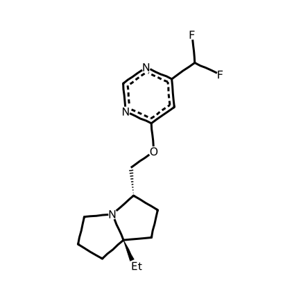 CC[C@@]12CCCN1[C@H](COc1cc(C(F)F)ncn1)CC2